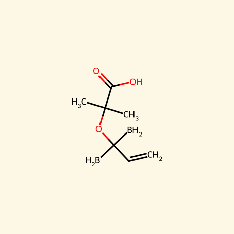 BC(B)(C=C)OC(C)(C)C(=O)O